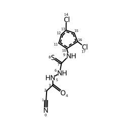 N#CCC(=O)NNC(=S)Nc1ccc(Cl)cc1Cl